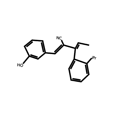 C/C=C(/C(C#N)=C/c1cccc(O)c1)c1ccccc1C(C)C